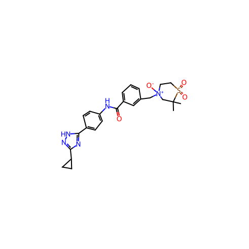 CC1(C)C[N+]([O-])(Cc2cccc(C(=O)Nc3ccc(-c4nc(C5CC5)n[nH]4)cc3)c2)CCS1(=O)=O